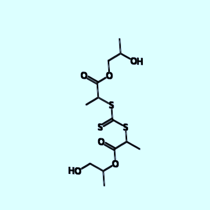 CC(O)COC(=O)C(C)SC(=S)SC(C)C(=O)OC(C)CO